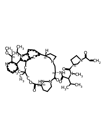 C=CC(=O)N1CC[C@H](C(=O)N(C)C(C(=O)N[C@H]2CN3CC[C@H](C3)c3ccc4c(c3)c(c(-c3cccnc3[C@H](C)OC)n4CC)CC(C)(C)COC(=O)[C@@H]3CCCN(N3)C2=O)C(C)C)C1